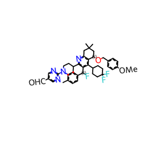 COc1ccc(CO[C@H]2CC(C)(C)Cc3nc(C4CCN(c5ncc(C=O)cn5)CC4)c([C@@H](F)c4ccc(C)cc4)c(C4CCC(F)(F)CC4)c32)cc1